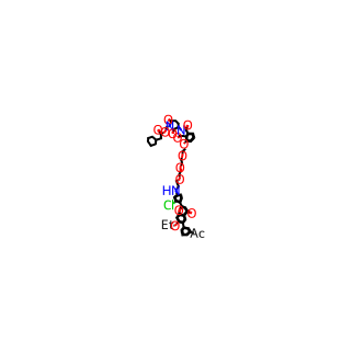 CCOc1cc2oc(-c3ccc(NCCOCCOCCOCCOc4cccc5c4C(=O)N(C4CCC(=O)N(COC(=O)CC6CCCCC6)C4=O)C5=O)cc3Cl)cc(=O)c2cc1-c1cccc(C(C)=O)c1